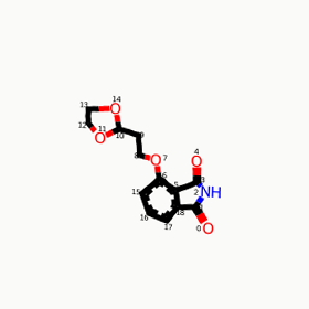 O=C1NC(=O)c2c(OCCC3OCCO3)cccc21